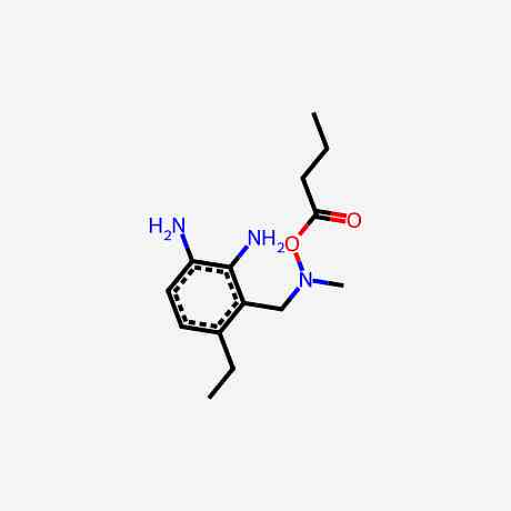 CCCC(=O)ON(C)Cc1c(CC)ccc(N)c1N